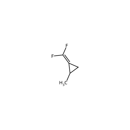 CC1CC1=C(F)F